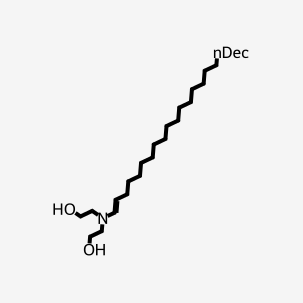 CCCCCCCCCCCCCCCCCCCCCCCCCC=CN(CCO)CCO